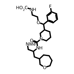 CNCC(CC1CCCCOC1)NC(=O)N1CCCC(C(OCCNC(=O)O)c2cccc(F)c2)C1